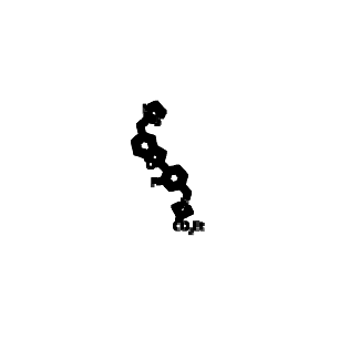 CCOC(=O)C1CN(Cc2ccc(-c3cc4cc(Cc5nccs5)ccc4o3)c(F)c2)C1